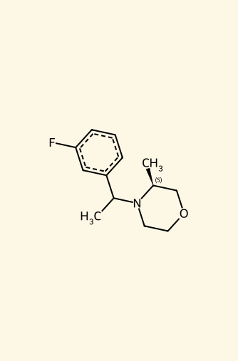 CC(c1cccc(F)c1)N1CCOC[C@@H]1C